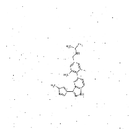 Cc1cc(CNC(C)C)cc(F)c1-c1cc2c(-c3cnn(C)c3)n[nH]c2cn1